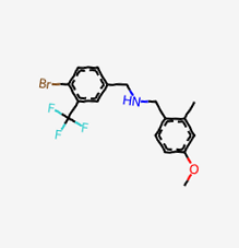 COc1ccc(CNCc2ccc(Br)c(C(F)(F)F)c2)c(C)c1